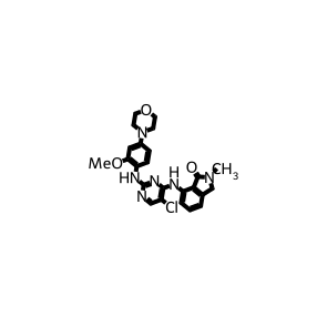 COc1cc(N2CCOCC2)ccc1Nc1ncc(Cl)c(Nc2cccc3c2C(=O)N(C)C3)n1